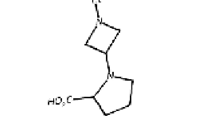 CCN1CC(N2CCCC2C(=O)O)C1